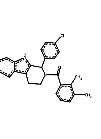 Cc1cccc(C(=O)N2CCc3c([nH]c4ccccc34)C2c2ccc(Cl)cc2)c1C